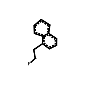 F[CH]Cc1cccc2ccccc12